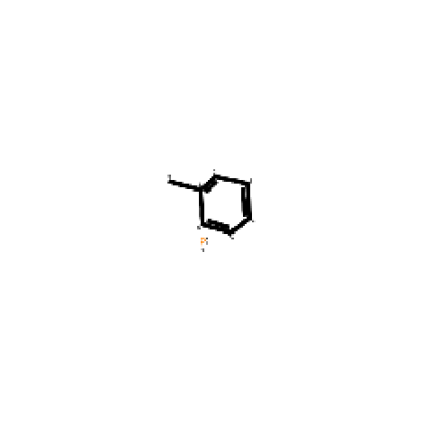 Cc1ccccc1.[P]